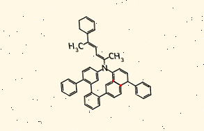 C/C(=C\C=C(/C)N(C1=CCC(c2ccccc2)C=C1)c1ccc(-c2ccccc2)c(-c2ccccc2-c2ccccc2)c1)C1=CC=CCC1